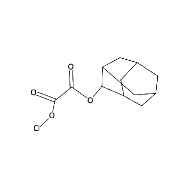 O=C(OCl)C(=O)OC1C2CC3CC(C2)CC1C3